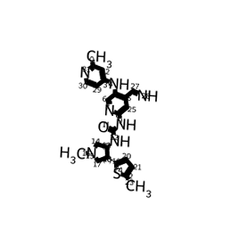 Cc1cc(Nc2cnc(NC(=O)N[C@@H]3CN(C)C[C@H]3c3ccc(C)s3)cc2C=N)ccn1